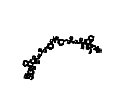 CCOCc1nc2c(NC(=O)COCC(=O)OCC3CCCC(OC(C)(C)OC4CCCC(COC(=O)COCC(=O)Nc5nc6ccccc6c6c5nc(CC)n6CC(C)(C)O)C4)C3)nc3ccccc3c2n1CC(C)(C)O